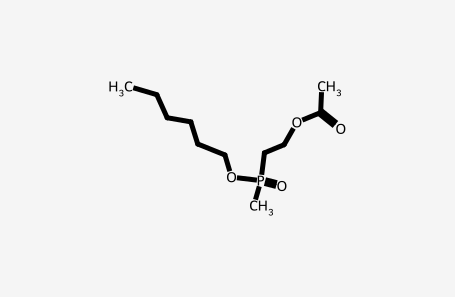 CCCCCCOP(C)(=O)CCOC(C)=O